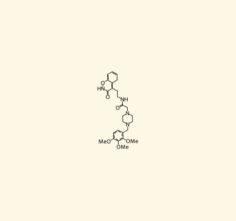 COc1ccc(CN2CCN(CC(=O)NCCC3=C4CC=CC=C4ONC3=O)CC2)c(OC)c1OC